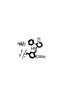 COc1ccc(C(C(F)(F)F)C(F)(F)F)cc1CN[C@H]1CCCN[C@H]1c1ccccc1.Cl.Cl